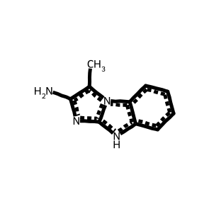 Cc1c(N)nc2[nH]c3ccccc3n12